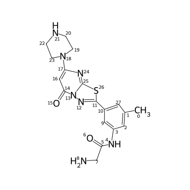 Cc1cc(NC(=O)CN)cc(-c2nn3c(=O)cc(N4CCNCC4)nc3s2)c1